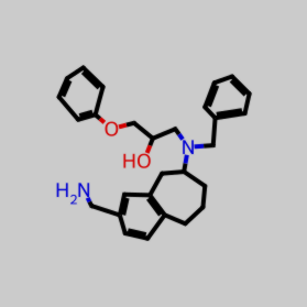 NCc1ccc2c(c1)CC(N(Cc1ccccc1)CC(O)COc1ccccc1)CCC2